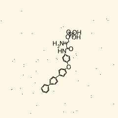 N[C@@H](COP(=O)(O)O)C(=O)Nc1ccc(Oc2ccc(-c3ccc(-c4ccccc4)cc3)cc2)cc1